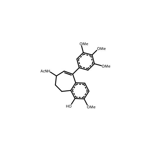 COc1ccc2c(c1O)CCC(NC(C)=O)C=C2c1cc(OC)c(OC)c(OC)c1